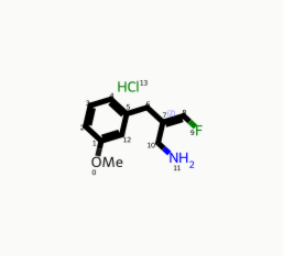 COc1cccc(C/C(=C/F)CN)c1.Cl